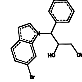 OCC(O)C(c1ccccc1)n1ccc2ccc(Br)cc21